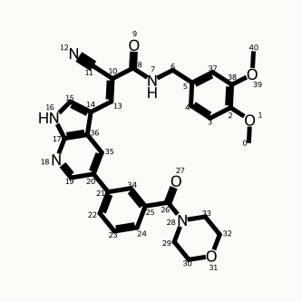 COc1ccc(CNC(=O)/C(C#N)=C/c2c[nH]c3ncc(-c4cccc(C(=O)N5CCOCC5)c4)cc23)cc1OC